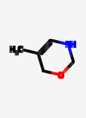 CC1=CNCOC1